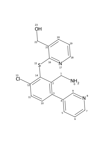 NCc1c(-c2cccnc2)ccc(Cl)c1Sc1ncccc1CO